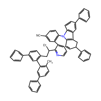 CCC(Cc1ccc(-c2ccccc2)cc1-c1cc(-c2ccccc2)ccc1C)c1ncccc1-c1cc(C#N)ccc1-n1c2c(c3cc(-c4ccccc4)ccc31)CC(c1ccccc1)C=C2